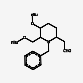 CCCCOCC1C(OCCCC)CCC(CC=O)N1Cc1ccccc1